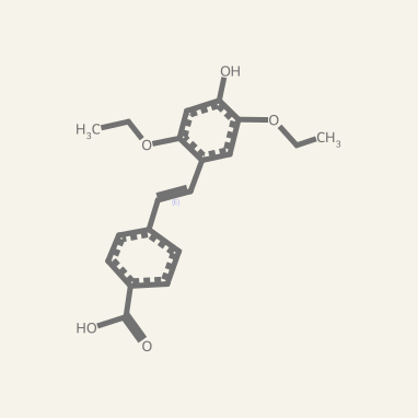 CCOc1cc(/C=C/c2ccc(C(=O)O)cc2)c(OCC)cc1O